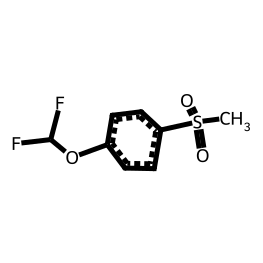 CS(=O)(=O)c1ccc(OC(F)F)cc1